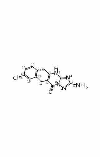 Cc1[nH]c2nc(N)nn2c(=O)c1Cc1cccc(Cl)c1